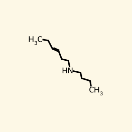 CCC=CCCNCCCC